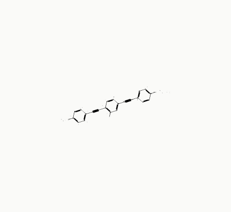 CCCCCCCCCc1ccc(C#Cc2ccc(C#Cc3ccc(C#N)cc3)c(F)c2)cc1